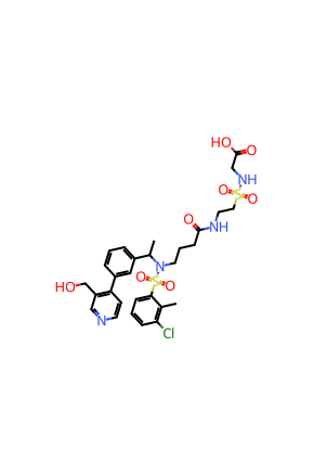 Cc1c(Cl)cccc1S(=O)(=O)N(CCCC(=O)NCCS(=O)(=O)NCC(=O)O)C(C)c1cccc(-c2ccncc2CO)c1